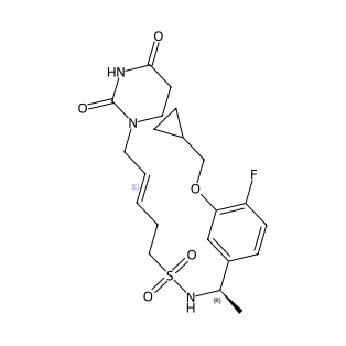 C[C@@H](NS(=O)(=O)CC/C=C/CN1CCC(=O)NC1=O)c1ccc(F)c(OCC2CC2)c1